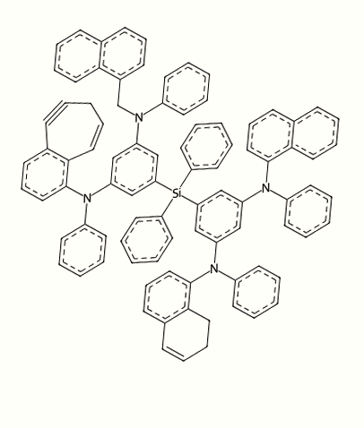 C1#Cc2cccc(N(c3ccccc3)c3cc(N(Cc4cccc5ccccc45)c4ccccc4)cc([Si](c4ccccc4)(c4ccccc4)c4cc(N(c5ccccc5)c5cccc6c5CCC=C6)cc(N(c5ccccc5)c5cccc6ccccc56)c4)c3)c2C=CC1